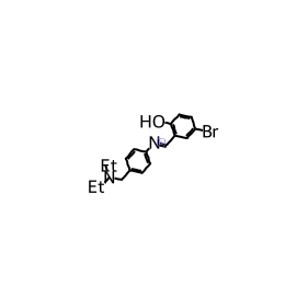 CCN(CC)Cc1ccc(/N=C/c2cc(Br)ccc2O)cc1